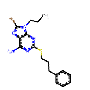 CCCn1c(Br)nc2c(N)nc(SCCCc3ccccc3)nc21